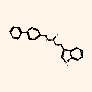 O=C(CCc1c[nH]c2ccccc12)NCc1ccc(-c2ccccc2)cc1